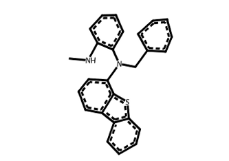 CNc1ccccc1N(Cc1ccccc1)c1cccc2c1sc1ccccc12